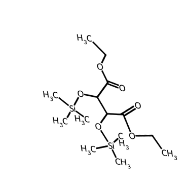 CCOC(=O)C(O[Si](C)(C)C)C(O[Si](C)(C)C)C(=O)OCC